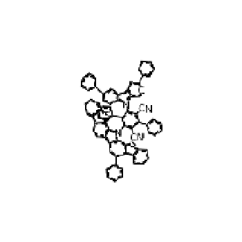 N#Cc1c(-c2ccccc2)c(C#N)c(-n2c3c(ccc4c5ccccc5sc43)c3cc(-c4ccccc4)c4c5ccccc5sc4c32)c(-c2ccccc2)c1-n1c2ccc(-c3ccccc3)cc2c2cc(-c3ccccc3)ccc21